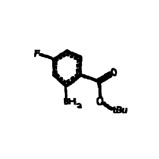 Bc1cc(F)ccc1C(=O)OC(C)(C)C